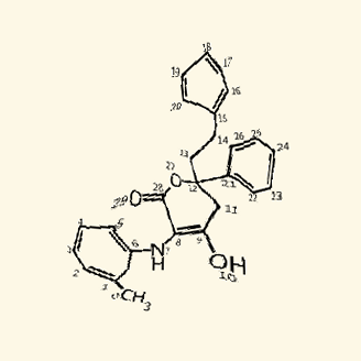 Cc1ccccc1NC1=C(O)CC(CCc2ccccc2)(c2ccccc2)OC1=O